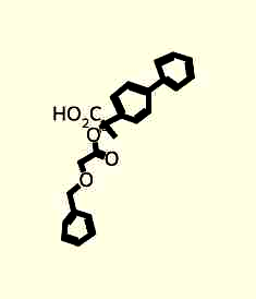 C[C@@](OC(=O)COCc1ccccc1)(C(=O)O)c1ccc(-c2ccccc2)cc1